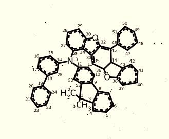 CC1(C)c2ccccc2-c2ccc(N(c3cccc(-c4ccccc4)c3)c3cccc4oc5c(c34)=CC3Oc4ccccc4C3C=5c3ccccc3)cc21